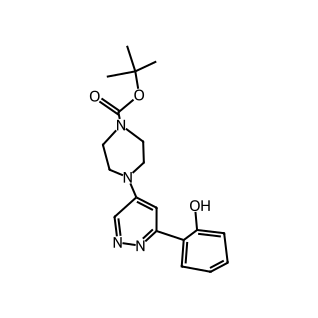 CC(C)(C)OC(=O)N1CCN(c2cnnc(-c3ccccc3O)c2)CC1